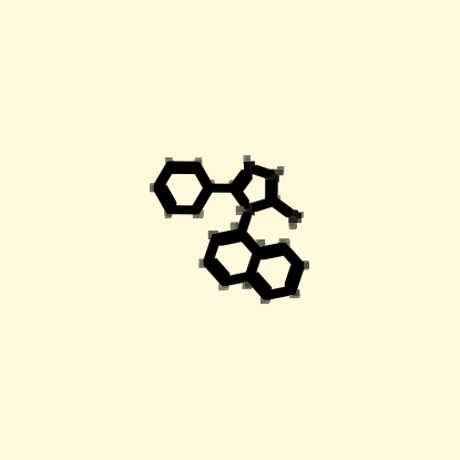 Brc1nnc(C2C=CC=CC2)n1-c1cccc2ccccc12